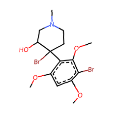 COc1cc(OC)c(C2(Br)CCN(C)CC2O)c(OC)c1Br